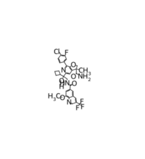 COc1cc(C(=O)NCC(O)(c2cc3c(c(-c4ccc(Cl)c(F)c4)n2)OC[C@]3(C)C(N)=O)C2CCC2)cc2cc(C(F)(F)F)cnc12